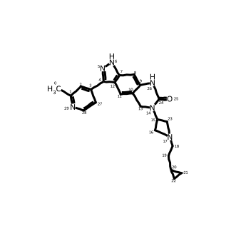 Cc1cc(-c2n[nH]c3cc4c(cc23)CN(C2CN(CCC3CC3)C2)C(=O)N4)ccn1